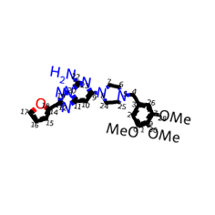 COc1cc(CN2CCN(c3cc4nc(-c5ccco5)nn4c(N)n3)CC2)cc(OC)c1OC